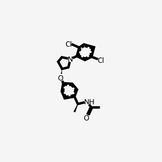 CC(=O)N[C@@H](C)c1ccc(O[C@@H]2CCN(c3cc(Cl)ccc3Cl)C2)cc1